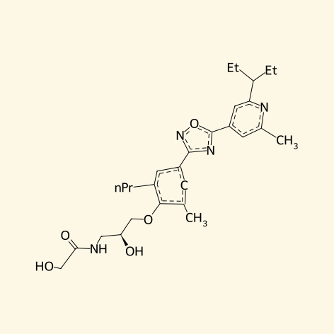 CCCc1cc(-c2noc(-c3cc(C)nc(C(CC)CC)c3)n2)cc(C)c1OC[C@@H](O)CNC(=O)CO